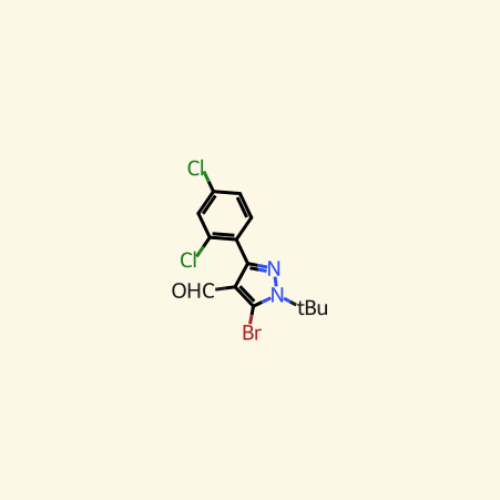 CC(C)(C)n1nc(-c2ccc(Cl)cc2Cl)c(C=O)c1Br